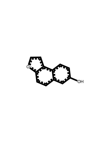 Oc1ccc2c(ccc3occc32)c1